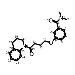 CN(C)C(=O)c1cccc(OCCCC(=O)N2CCCc3ccccc32)c1